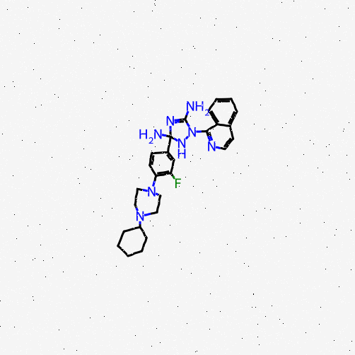 NC1=NC(N)(c2ccc(N3CCN(C4CCCCC4)CC3)c(F)c2)NN1c1nccc2ccccc12